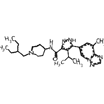 CCC(CC)CN1CCC(NC(=O)c2n[nH]c(-c3cc(C)c4ncnn4c3)c2C(C)C)CC1